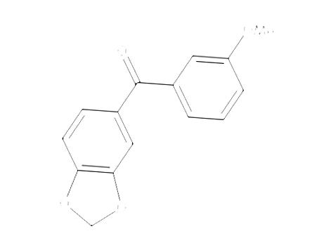 COc1cccc(C(=O)c2ccc3c(c2)OCO3)c1